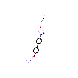 CCOC(=O)c1nn(COCC[Si](C)(C)C)nc1-c1ccc(-c2ccc(C(=O)/N=C/N(C)C)cc2)cc1